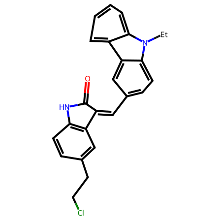 CCn1c2ccccc2c2cc(C=C3C(=O)Nc4ccc(CCCl)cc43)ccc21